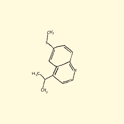 CSc1ccc2nccc(C(C)C)c2c1